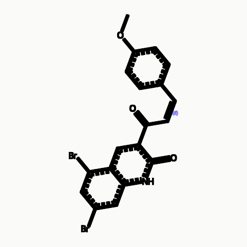 COc1ccc(/C=C\C(=O)c2cc3c(Br)cc(Br)cc3[nH]c2=O)cc1